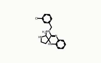 CC1NCCC12Nc1ccccc1N=C2NCc1cccc(Cl)c1